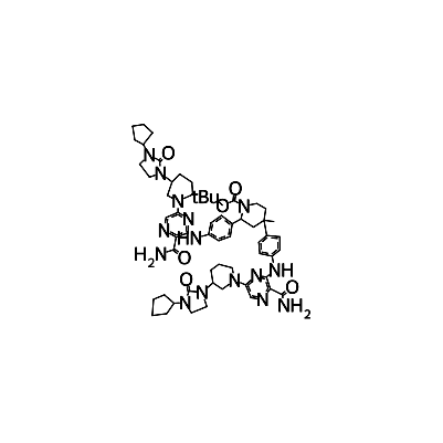 CC(C)(C)OC(=O)N1CCC(C)(c2ccc(Nc3nc(N4CCCC(N5CCN(C6CCCC6)C5=O)C4)cnc3C(N)=O)cc2)CC1c1ccc(Nc2nc(N3CCCC(N4CCN(C5CCCC5)C4=O)C3)cnc2C(N)=O)cc1